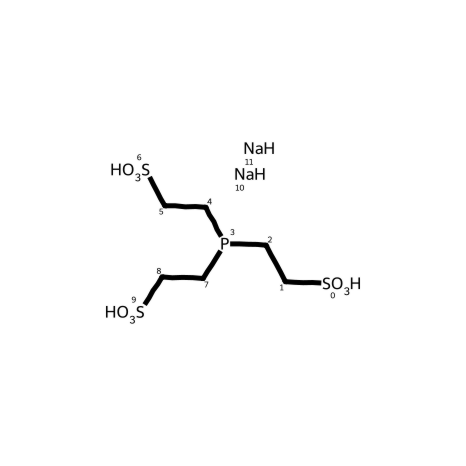 O=S(=O)(O)CCP(CCS(=O)(=O)O)CCS(=O)(=O)O.[NaH].[NaH]